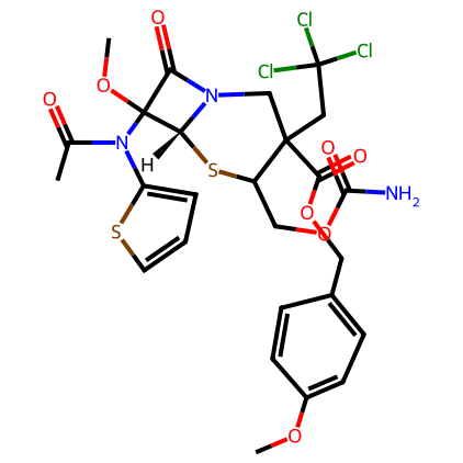 COc1ccc(COC(=O)C2(CC(Cl)(Cl)Cl)CN3C(=O)C(OC)(N(C(C)=O)c4cccs4)[C@H]3SC2COC(N)=O)cc1